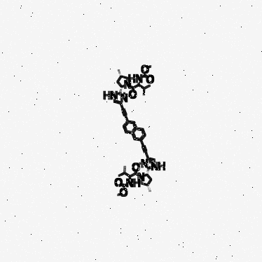 COC(=O)N[C@H](C(=O)N1C[C@@H](C)C[C@H]1C1=[N+]C(C#Cc2ccc3cc(C#CC4=CNC([C@@H]5C[C@H](C)CN5C(=O)[C@@H](NC(=O)OC)C(C)C)=[N+]4)ccc3c2)=CN1)C(C)C